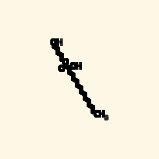 CCCCCCCCCCCCCCC(O)C(=O)OCCCCCO